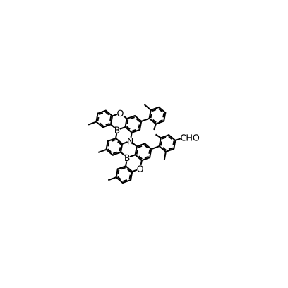 Cc1ccc2c(c1)B1c3cc(C)cc4c3N(c3cc(-c5c(C)cccc5C)cc(c31)O2)c1cc(-c2c(C)cc(C=O)cc2C)cc2c1B4c1cc(C)ccc1O2